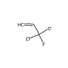 [CH]=CC(F)(Cl)Cl